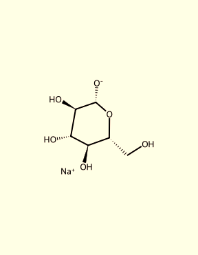 [Na+].[O-][C@@H]1O[C@H](CO)[C@@H](O)[C@H](O)[C@H]1O